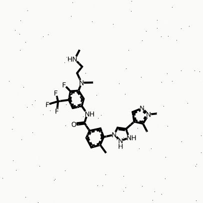 CNCCN(C)c1cc(NC(=O)c2ccc(C)c(N3C=C(c4cnn(C)c4C)NN3)c2)cc(C(F)(F)F)c1F